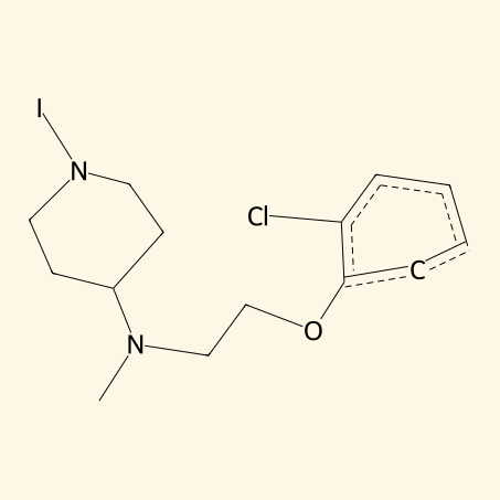 CN(CCOc1ccccc1Cl)C1CCN(I)CC1